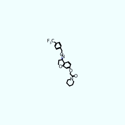 O=C(COc1ccc2c(c1)OCC/C2=N\OCc1ccc(C(F)(F)F)cc1)N1CCCCC1